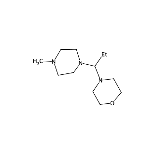 [CH2]CC(N1CCOCC1)N1CCN(C)CC1